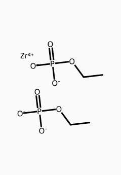 CCOP(=O)([O-])[O-].CCOP(=O)([O-])[O-].[Zr+4]